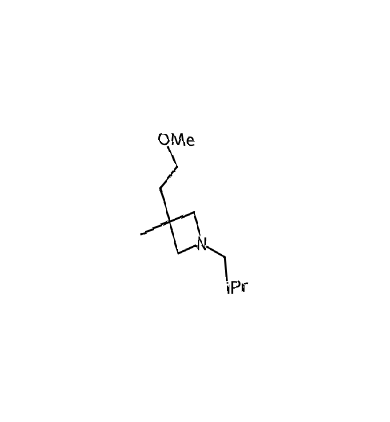 COCCC1(C)CN(CC(C)C)C1